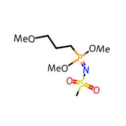 COCCCP(=NS(C)(=O)=O)(OC)OC